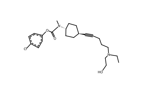 CCN(CCO)CCCC#C[C@H]1CC[C@H](N(C)C(=O)Oc2ccc(Cl)cc2)CC1